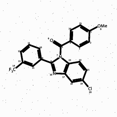 COc1ccc(C(=O)n2c(-c3cccc(C(F)(F)F)c3)nc3cc(Cl)ccc32)cc1